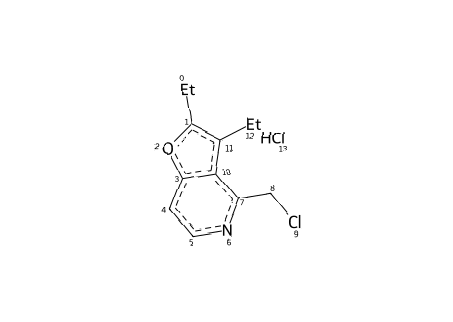 CCc1oc2ccnc(CCl)c2c1CC.Cl